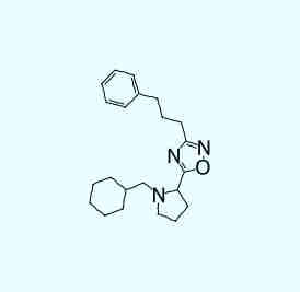 c1ccc(CCCc2noc(C3CCCN3CC3CCCCC3)n2)cc1